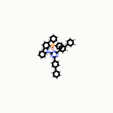 O=P1(c2ccccc2)c2ccccc2-c2ccc3c4ccccc4n(-c4nc(-c5ccc(-c6ccccc6)cc5)nc(-c5ccc(-c6ccccc6)cc5)n4)c3c21